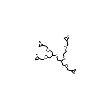 C(CSC(COCC1CS1)CSC(COCC1CS1)COCC1CS1)OCC1CS1